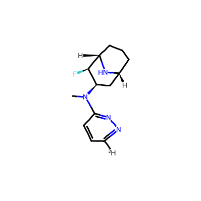 [2H]c1ccc(N(C)[C@@H]2C[C@H]3CCC[C@H](N3)[C@@H]2F)nn1